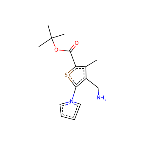 Cc1c(C(=O)OC(C)(C)C)sc(-n2cccc2)c1CN